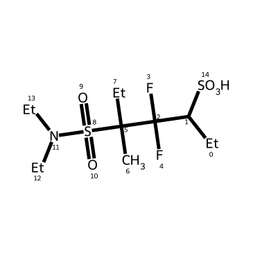 CCC(C(F)(F)C(C)(CC)S(=O)(=O)N(CC)CC)S(=O)(=O)O